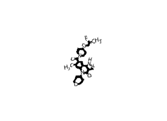 Cc1cc2c(cc1C(=O)N1CCC(OC[C@H](C)F)CC1)c1[nH]ncc1c(=O)n2C1CCOCC1